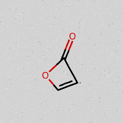 O=C1[C]=CO1